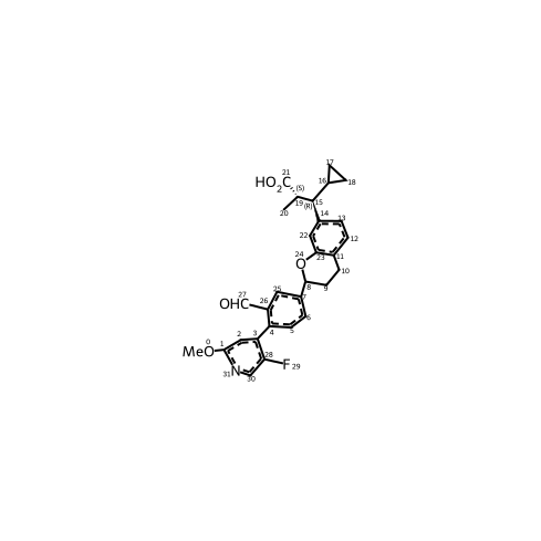 COc1cc(-c2ccc(C3CCc4ccc([C@H](C5CC5)[C@H](C)C(=O)O)cc4O3)cc2C=O)c(F)cn1